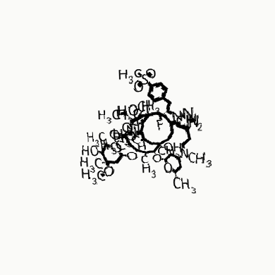 C=C1CC[C@@H]2[C@@H](C)/C(=N/O)[C@H](C)C[C@@](C)(CC1)[C@H](O[C@@H]1O[C@H](C)C[C@H](N(C)CCc3cn([C@H](CF)Cc4ccc(S(C)(=O)=O)cc4)nn3)[C@H]1O)[C@@H](C)[C@H](O[C@H]1C[C@@](C)(OC)[C@@H](O)[C@H](C)O1)[C@@H](C)C(=O)O[C@H](CC)[C@@]2(C)O